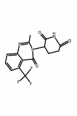 Cc1nc2cccc(C(F)(F)F)c2c(=O)n1C1CCC(=O)NC1=O